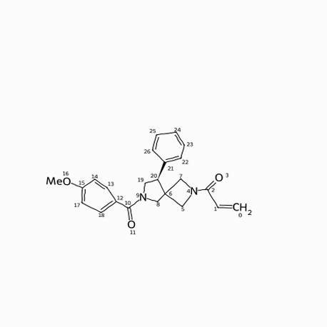 C=CC(=O)N1CC2(C1)CN(C(=O)c1ccc(OC)cc1)C[C@H]2c1ccccc1